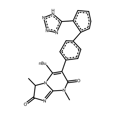 CCCCC1=C(c2ccc(-c3ccccc3-c3nnn[nH]3)cc2)C(=O)N(C)C2=NC(=O)C(C)N21